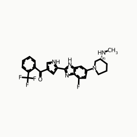 CN[C@@H]1CCCN(c2cc(F)c3nc(-c4cc(C(=O)c5ccccc5C(F)(F)F)c[nH]4)[nH]c3c2)C1